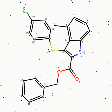 Cc1cccc2[nH]c(C(=O)OCc3ccccc3)c(Sc3ccc(Cl)cc3)c12